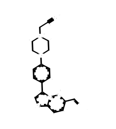 C=Cc1ccc2ncc(-c3ccc(N4CCN(CC#N)CC4)cc3)n2n1